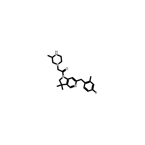 Cc1cc(F)ccc1Cc1cc2c(cn1)C(C)(C)CN2C(=O)CN1CCNC(C)C1